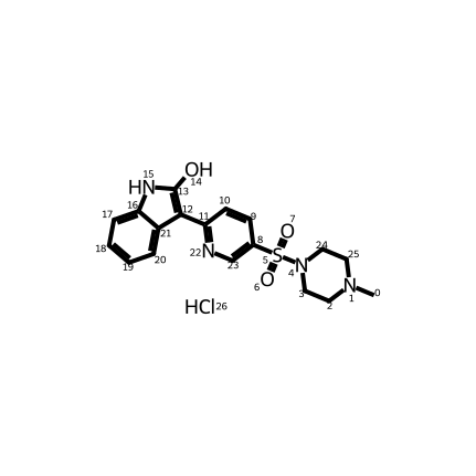 CN1CCN(S(=O)(=O)c2ccc(-c3c(O)[nH]c4ccccc34)nc2)CC1.Cl